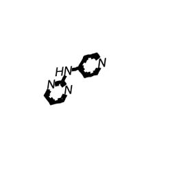 c1cnc(Nc2ccncc2)nc1